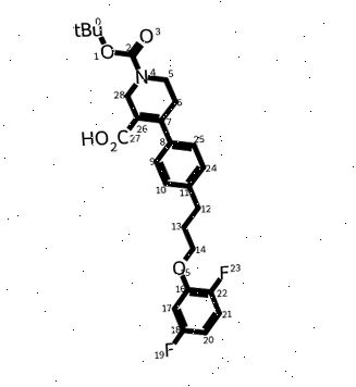 CC(C)(C)OC(=O)N1CCC(c2ccc(CCCOc3cc(F)ccc3F)cc2)=C(C(=O)O)C1